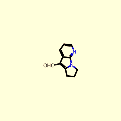 O=Cc1c2n(c3ncccc13)CCC2